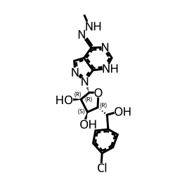 CNN=c1nc[nH]c2c1cnn2[C@@H]1O[C@H](C(O)c2ccc(Cl)cc2)[C@@H](O)[C@H]1O